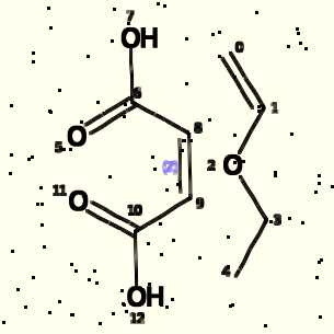 C=COCC.O=C(O)/C=C\C(=O)O